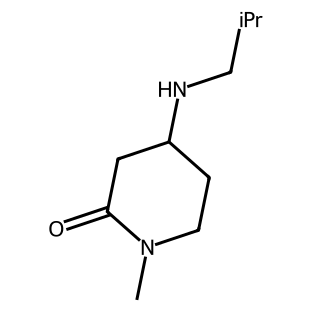 CC(C)CNC1CCN(C)C(=O)C1